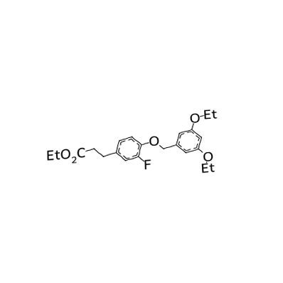 CCOC(=O)CCc1ccc(OCc2cc(OCC)cc(OCC)c2)c(F)c1